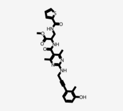 COC(=O)C(CNC(=O)c1cccs1)NC(=O)c1c(C)nc(NCC#Cc2cccc(O)c2C)nc1C